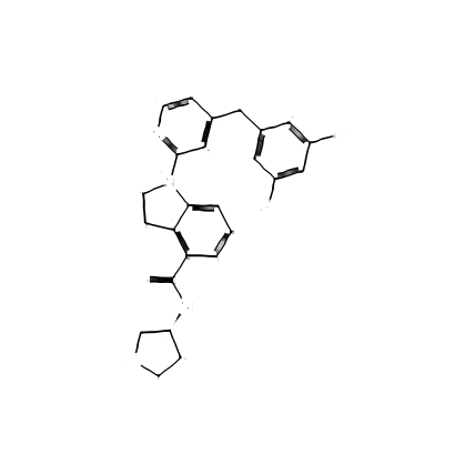 O=C(N[C@H]1CCOC1)c1cccc2c1CCN2c1cc(Cc2cc(F)cc(F)c2)ccn1